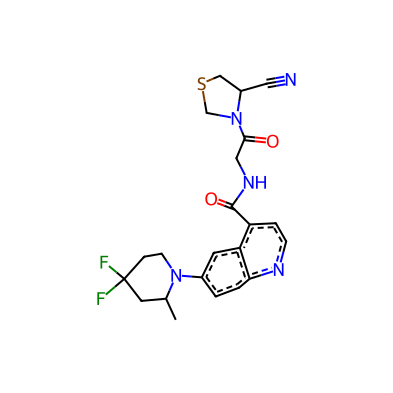 CC1CC(F)(F)CCN1c1ccc2nccc(C(=O)NCC(=O)N3CSCC3C#N)c2c1